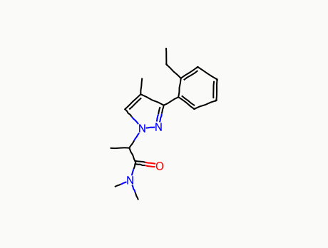 CCc1ccccc1-c1nn(C(C)C(=O)N(C)C)cc1C